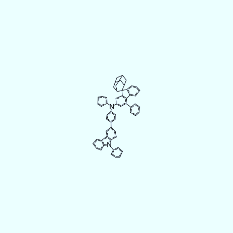 c1ccc(-c2cc(N(c3ccccc3)c3ccc(-c4ccc5c(c4)c4ccccc4n5-c4ccccc4)cc3)cc3c2-c2ccccc2C32C3CC4CC(C3)CC2C4)cc1